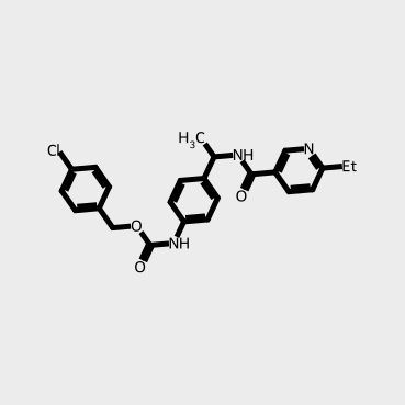 CCc1ccc(C(=O)NC(C)c2ccc(NC(=O)OCc3ccc(Cl)cc3)cc2)cn1